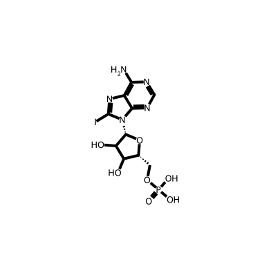 Nc1ncnc2c1nc(I)n2[C@@H]1O[C@H](COP(=O)(O)O)C(O)C1O